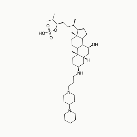 CC(C)[C@@H](CC[C@@H](C)[C@H]1CCC2C3C(CC[C@@]21C)[C@@]1(C)CC[C@H](NCCCN2CCC(N4CCCCC4)CC2)C[C@H]1C[C@@H]3O)OS(=O)(=O)O